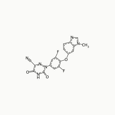 Cn1cnc2ccc(Oc3c(F)cc(-n4nc(C#N)c(=O)[nH]c4=O)cc3F)cc21